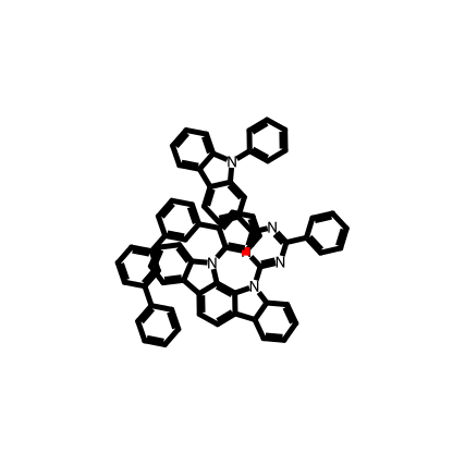 C1=CC2c3ccc4c5ccccc5n(-c5ccccc5-c5cccc(-c6cccc(-c7ccccc7)c6)c5)c4c3N(c3nc(-c4ccccc4)nc(-c4ccc5c6ccccc6n(-c6ccccc6)c5c4)n3)C2C=C1